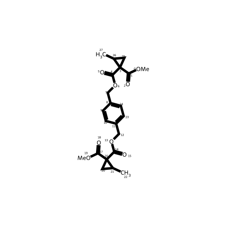 COC(=O)C1(C(=O)OCc2ccc(COC(=O)C3(C(=O)OC)CC3C)cc2)CC1C